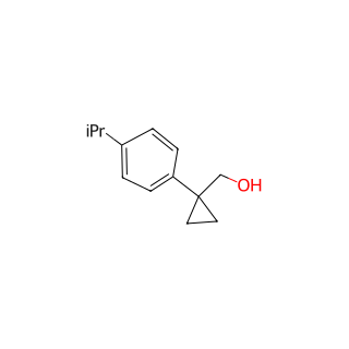 CC(C)c1ccc(C2(CO)CC2)cc1